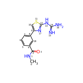 CNC(=O)c1cccc(-c2csc(NC(=N)N)n2)c1